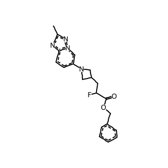 Cc1nc2ccc(N3CC(CC(F)C(=O)OCc4ccccc4)C3)cn2n1